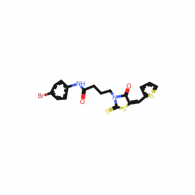 O=C(CCCN1C(=O)/C(=C\c2cccs2)SC1=S)Nc1ccc(Br)cc1